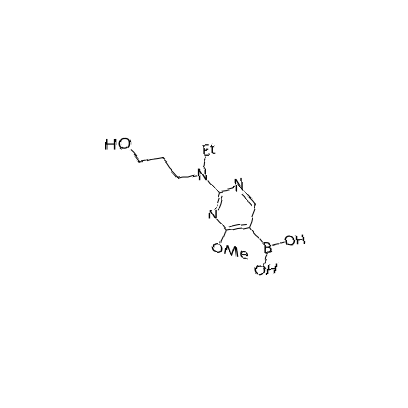 CCN(CCCO)c1ncc(B(O)O)c(OC)n1